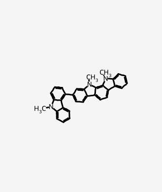 Cn1c2ccccc2c2c(-c3ccc4c5ccc6c7ccccc7n(C)c6c5n(C)c4c3)cccc21